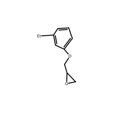 CCc1cccc(OCC2CO2)c1